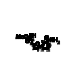 COP(=O)(S)CCC1CCC(c2ccnc(C(N)=O)c2)O1